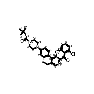 CCc1cnc2c(=O)c3c(Cl)cccc3oc2c1-c1ccc(N2CCN(C(=O)OC(C)(C)C)CC2)cc1